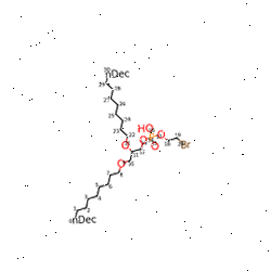 CCCCCCCCCCCCCCCCCCOCC(COP(=O)(O)OCCBr)OCCCCCCCCCCCCCCCCCC